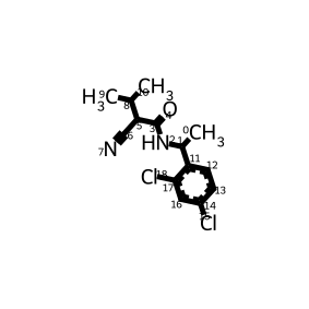 CC(NC(=O)C(C#N)C(C)C)c1ccc(Cl)cc1Cl